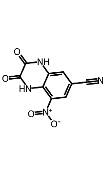 N#Cc1cc([N+](=O)[O-])c2[nH]c(=O)c(=O)[nH]c2c1